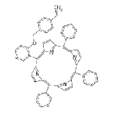 C=Cc1ccc(COc2ccccc2C2=C3C=CC(=N3)C(c3ccccc3)=C3C=CC(=N3)C(c3ccccc3)=C3C=CC(=N3)C(c3ccccc3)=C3C=CC2=N3)cc1